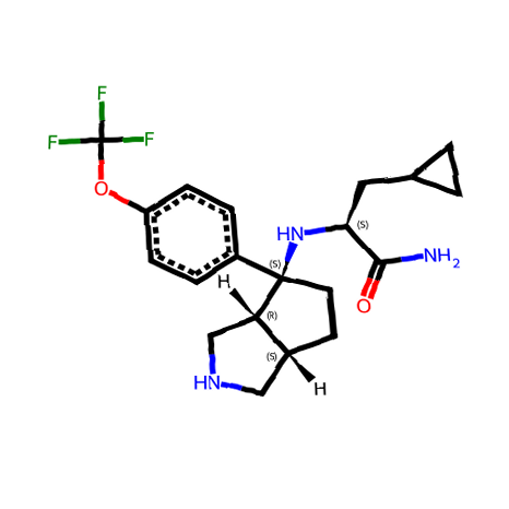 NC(=O)[C@H](CC1CC1)N[C@@]1(c2ccc(OC(F)(F)F)cc2)CC[C@@H]2CNC[C@@H]21